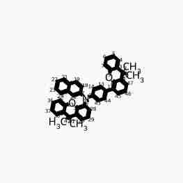 CC1(C)c2ccccc2Oc2c(-c3ccc(N(c4ccc5ccccc5c4)c4cccc5c4Oc4ccccc4C5(C)C)cc3)cccc21